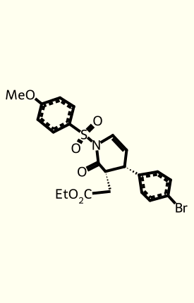 CCOC(=O)C[C@@H]1C(=O)N(S(=O)(=O)c2ccc(OC)cc2)C=C[C@@H]1c1ccc(Br)cc1